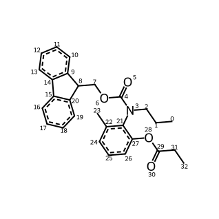 CCCN(C(=O)OCC1c2ccccc2-c2ccccc21)c1c(C)cccc1OC(=O)CC